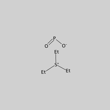 CC[S+](CC)CC.O=P[O-]